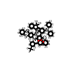 CC(C)(C)c1ccc(N2c3cc4c(cc3B3c5c2cc2c(oc6ccccc62)c5-c2cc(N(c5ccccc5)c5ccccc5)cc5c6c(n3c25)-c2ccccc2C6(C)C)Oc2ccccc2S4)c(-c2ccccc2)c1